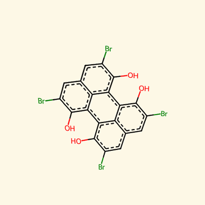 Oc1c(Br)cc2cc(Br)c(O)c3c4c(O)c(Br)cc5cc(Br)c(O)c(c1c23)c54